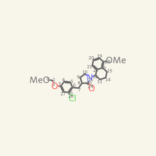 COCOc1ccc(CC2CCN(C3CCCc4c(OC)cccc43)C2=O)c(Cl)c1